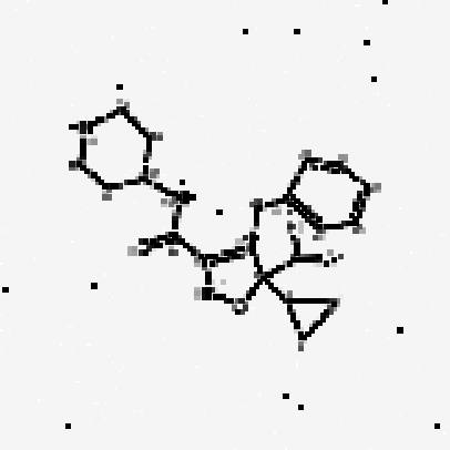 CCC(=O)C1(C2CC2)ONC(C(=O)NC2CCNCC2)=C1Cc1ccccc1